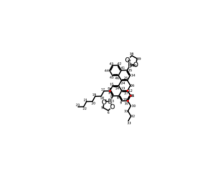 C/C=C(/B1OCCO1)c1ccccc1C(=CCCCCCCCC)c1c(CCCCCCCC)cc(B2OCCO2)c2ccccc12